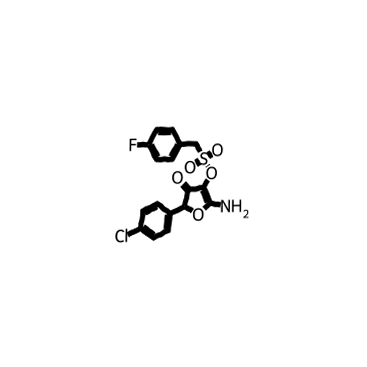 NC1=C(OS(=O)(=O)Cc2ccc(F)cc2)C(=O)C(c2ccc(Cl)cc2)O1